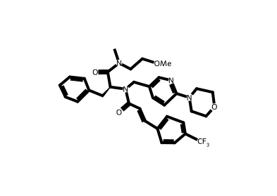 COCCN(C)C(=O)[C@H](Cc1ccccc1)N(Cc1ccc(N2CCOCC2)nc1)C(=O)C=Cc1ccc(C(F)(F)F)cc1